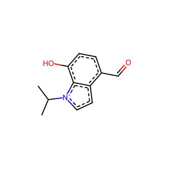 CC(C)n1ccc2c(C=O)ccc(O)c21